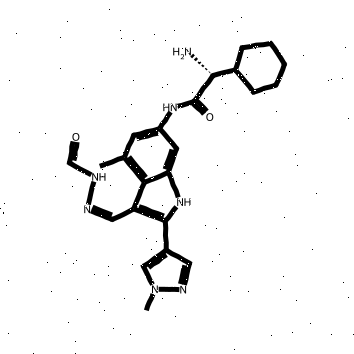 Cc1cc(NC(=O)[C@H](N)C2CCCCC2)cc2[nH]c(-c3cnn(C)c3)c(/C=N\NC=O)c12